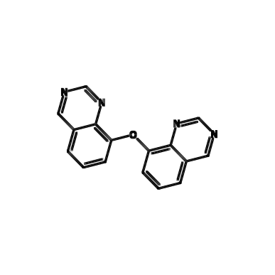 c1cc(Oc2cccc3cncnc23)c2ncncc2c1